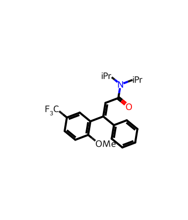 COc1ccc(C(F)(F)F)cc1C(=CC(=O)N(C(C)C)C(C)C)c1ccccc1